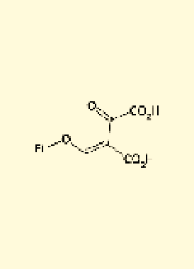 CCOC=C(C(=O)O)C(=O)C(=O)O